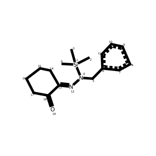 C[Si](C)(C)N(Cc1ccccc1)N=C1CCCCC1=O